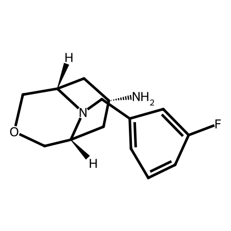 N[C@H]1C[C@H]2COC[C@@H](C1)N2Cc1cccc(F)c1